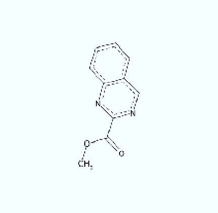 COC(=O)c1ncc2ccccc2n1